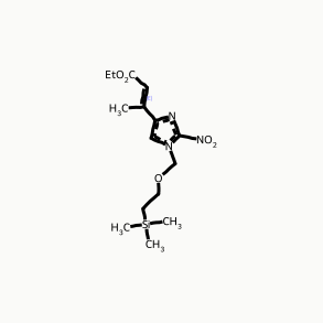 CCOC(=O)/C=C(\C)c1cn(COCC[Si](C)(C)C)c([N+](=O)[O-])n1